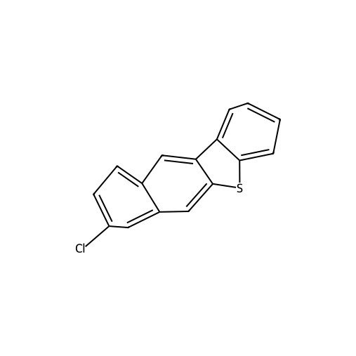 Clc1ccc2cc3c(cc2c1)sc1ccccc13